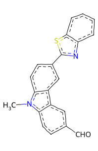 Cn1c2ccc(C=O)cc2c2cc(-c3nc4ccccc4s3)ccc21